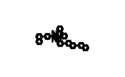 c1ccc(-c2ccccc2-c2nc(-c3ccc(-c4cccc5ccccc45)cc3)nc(-c3cccc(-c4ccc5cc(-c6ccc7ccccc7c6)ccc5c4)c3)n2)cc1